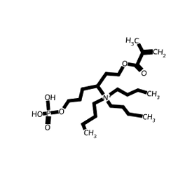 C=C(C)C(=O)OCCC(CCCOP(=O)(O)O)[N+](CCCC)(CCCC)CCCC